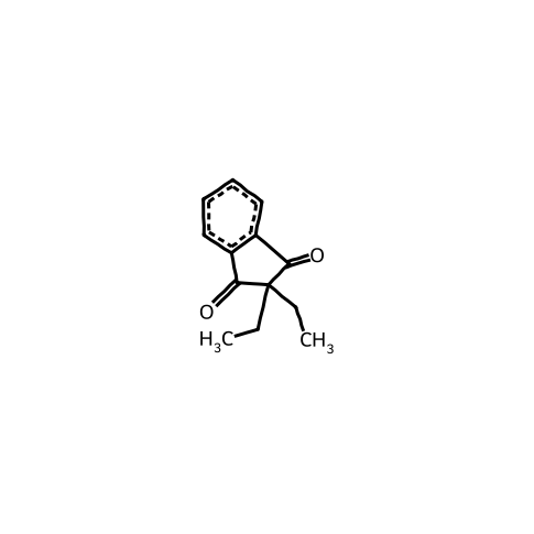 CCC1(CC)C(=O)c2ccccc2C1=O